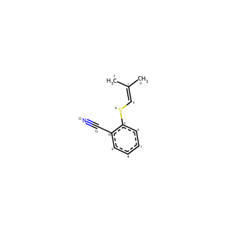 CC(C)=CSc1ccccc1C#N